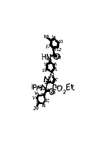 CCOC(=O)c1cn(-c2ccc(NC(=O)c3cccc(C)c3)cc2)nc1N(C(=O)C1CCC(C)CC1)C(C)C